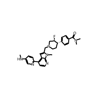 CNc1ccc(-c2ccnc3c2cc(CN2CC[C@@H](c4ccc(C(=O)N(C)C)cc4)[C@H](F)C2)n3C)nc1